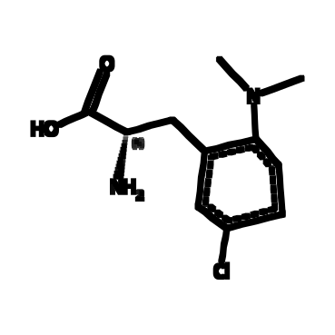 CN(C)c1ccc(Cl)cc1C[C@H](N)C(=O)O